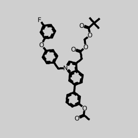 CC(=O)Oc1cccc(-c2ccc3c(CC(=O)OCOC(=O)C(C)(C)C)cn(Cc4ccc(Oc5cccc(F)c5)cc4)c3c2)c1